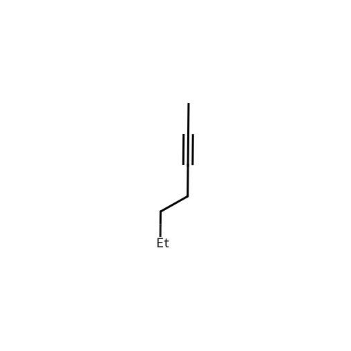 [CH2]CCCC#CC